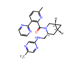 Cc1ccc(-c2ncccn2)c(C(=O)N2C[C@@H]3C[C@@H]3C[C@H]2CNc2cnc(C(F)(F)F)cn2)n1